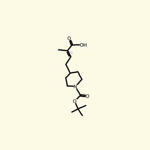 C/C(=C\CC1CCN(C(=O)OC(C)(C)C)CC1)C(=O)O